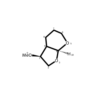 CO[C@@H]1CO[C@@H]2OCCCC21